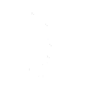 CC(C)(C)OC(=O)N1CCN(C2=C/CN(c3ccncc3)/C=C\C/C=C\2)CC1